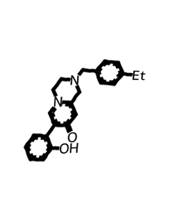 CCc1ccc(CN2CCn3cc(-c4ccccc4O)c(=O)cc3C2)cc1